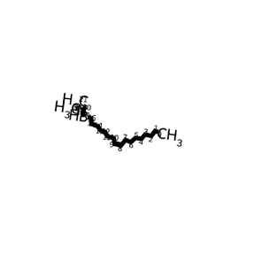 CCCCCCCC/C=C\CCCCCCCBN(C)CC